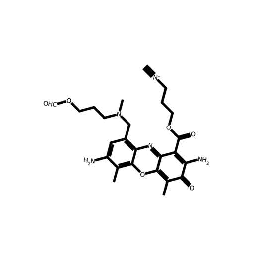 C#[N+]CCCOC(=O)c1c2nc3c(CN(C)CCCOC=O)cc(N)c(C)c3oc-2c(C)c(=O)c1N